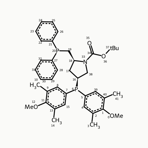 COc1c(C)cc(P(c2cc(C)c(OC)c(C)c2)[C@H]2C[C@@H](CP(c3ccccc3)c3ccccc3)N(C(=O)OC(C)(C)C)C2)cc1C